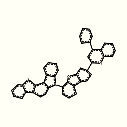 c1ccc(-c2cc(-c3ccc4c(c3)oc3c(-n5c6ccccc6c6c7sc8ccccc8c7ccc65)cccc34)nc3ccccc23)cc1